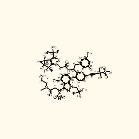 CN(CCN)C(=O)CN(c1nn(CC(F)(F)F)c2c(-c3ccc(C#CC(C)(C)S(C)(=O)=O)nc3C(Cc3cc(F)cc(F)c3)NC(=O)Cn3nc(C(F)(F)F)c4c3C(F)(F)[C@@H]3C[C@H]43)ccc(Cl)c12)[SH](=O)=O